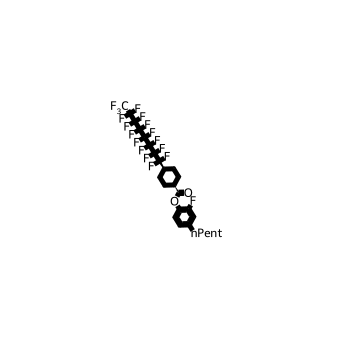 CCCCCc1ccc(OC(=O)[C@H]2CC[C@H](C(F)(F)C(F)(F)C(F)(F)C(F)(F)C(F)(F)C(F)(F)C(F)(F)C(F)(F)F)CC2)c(F)c1